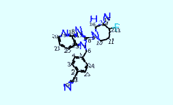 N#Cc1ccc(Cn2c(N3CC[C@H](F)[C@H](N)C3)nc3ncccc32)cc1